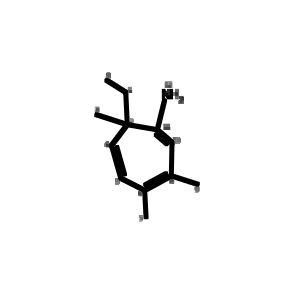 CCC1(C)C=CC(C)=C(C)C=C1N